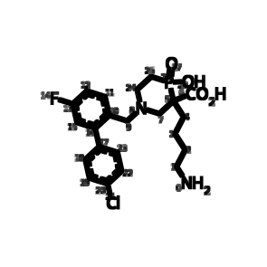 NCCCCC1(C(=O)O)CN(Cc2ccc(F)cc2-c2ccc(Cl)cc2)CCP1(=O)O